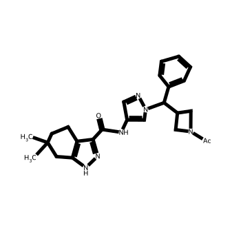 CC(=O)N1CC(C(c2ccccc2)n2cc(NC(=O)c3n[nH]c4c3CCC(C)(C)C4)cn2)C1